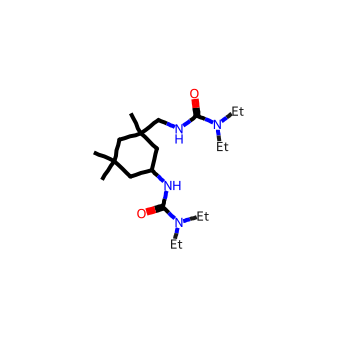 CCN(CC)C(=O)NCC1(C)CC(NC(=O)N(CC)CC)CC(C)(C)C1